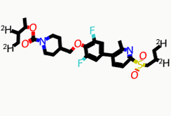 [2H]CC([2H])CS(=O)(=O)c1ccc(-c2cc(F)c(OCC3CCN(C(=O)OC(C)C([2H])C[2H])CC3)c(F)c2)c(C)n1